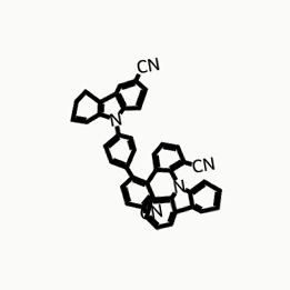 N#Cc1ccc(-c2ccc(-n3c4c(c5cc(C#N)ccc53)CCC=C4)cc2)c(-c2cccc(C#N)c2-n2c3ccccc3c3ccccc32)c1